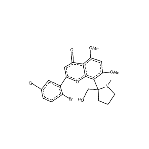 COc1cc(OC)c2c(=O)cc(-c3cc(Cl)ccc3Br)oc2c1C1(CO)CCCN1C